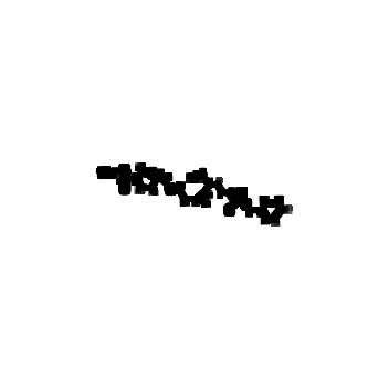 CCCC(CCNC(=O)OCc1ccccc1)[C@H]1C[C@H]1CCOCC1CCN(C(=O)OC(C)(C)C)CC1